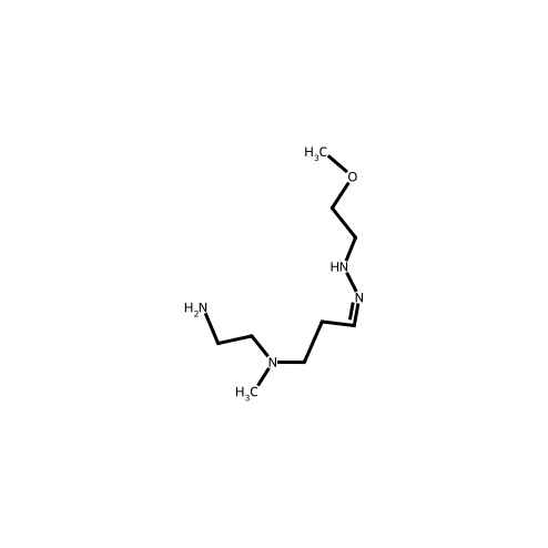 COCCN/N=C\CCN(C)CCN